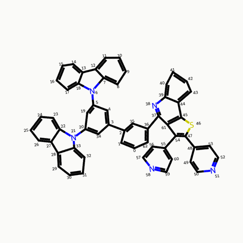 c1cc(-c2cc(-n3c4ccccc4c4ccccc43)cc(-n3c4ccccc4c4ccccc43)c2)cc(-c2nc3ccccc3c3sc(-c4ccncc4)c(-c4ccncc4)c23)c1